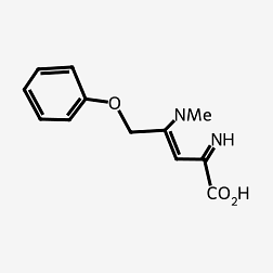 CN/C(=C\C(=N)C(=O)O)COc1ccccc1